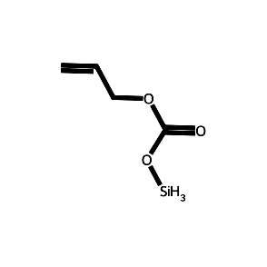 C=CCOC(=O)O[SiH3]